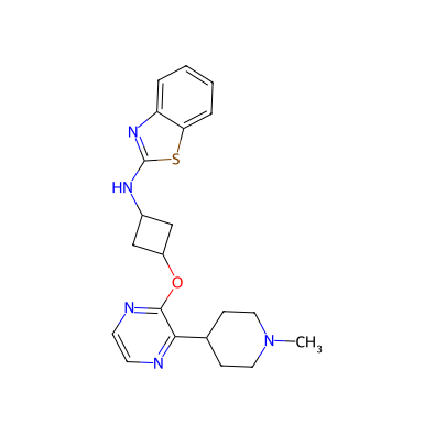 CN1CCC(c2nccnc2OC2CC(Nc3nc4ccccc4s3)C2)CC1